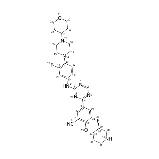 N#Cc1cc(-c2ncnc(Nc3ccc(N4CCN(C5CCOCC5)CC4)c(F)c3)n2)ccc1O[C@H]1CCNC[C@@H]1F